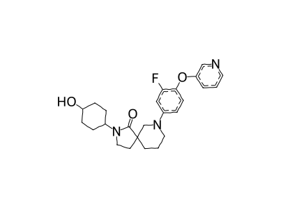 O=C1N(C2CCC(O)CC2)CCC12CCCN(c1ccc(Oc3cccnc3)c(F)c1)C2